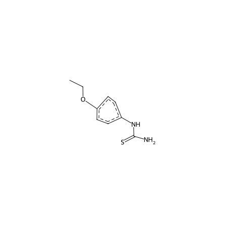 CCOc1ccc(NC(N)=S)cc1